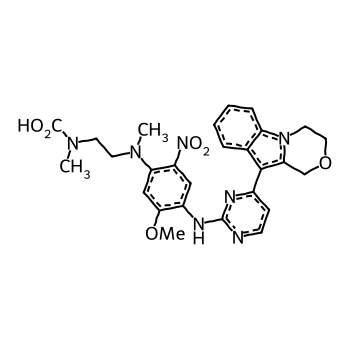 COc1cc(N(C)CCN(C)C(=O)O)c([N+](=O)[O-])cc1Nc1nccc(-c2c3n(c4ccccc24)CCOC3)n1